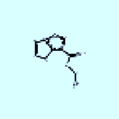 CCOC(=O)c1[c]sc2c1CC=C2